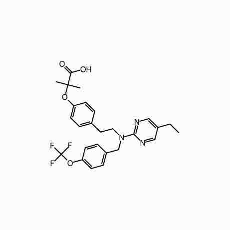 CCc1cnc(N(CCc2ccc(OC(C)(C)C(=O)O)cc2)Cc2ccc(OC(F)(F)F)cc2)nc1